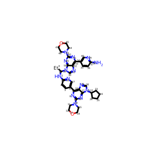 CCC(Nc1ccc(-c2nc(N3CCOCC3)nc3c2ncn3C2CCCC2)cn1)n1cnc2c(-c3ccc(N)nc3)nc(N3CCOCC3)nc21